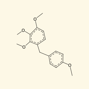 COc1ccc(Cc2ccc(OC)c(OC)c2OC)cc1